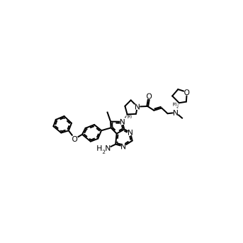 Cc1c(-c2ccc(Oc3ccccc3)cc2)c2c(N)ncnc2n1[C@@H]1CCN(C(=O)C=CCN(C)[C@@H]2CCOC2)C1